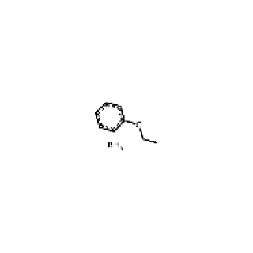 CCOc1c[c]ccc1.[BiH3]